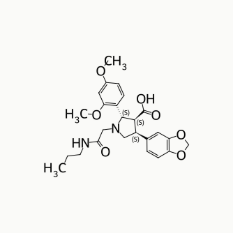 CCCNC(=O)CN1C[C@H](c2ccc3c(c2)OCO3)[C@H](C(=O)O)[C@H]1c1ccc(OC)cc1OC